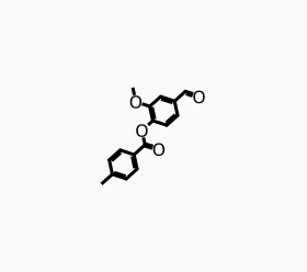 COc1cc(C=O)ccc1OC(=O)c1ccc(C)cc1